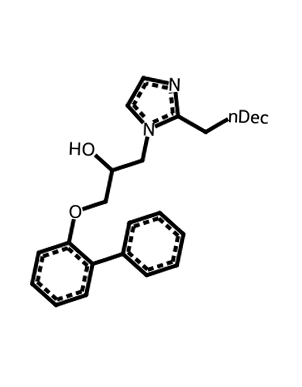 CCCCCCCCCCCc1nccn1CC(O)COc1ccccc1-c1ccccc1